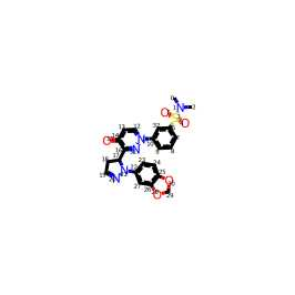 CN(C)S(=O)(=O)c1cccc(-n2ccc(=O)c(C3CC=NN3c3ccc4c(c3)OCO4)n2)c1